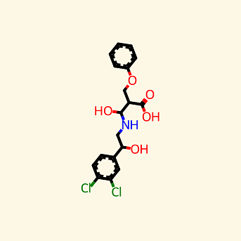 O=C(O)C(COc1ccccc1)C(O)NCC(O)c1ccc(Cl)c(Cl)c1